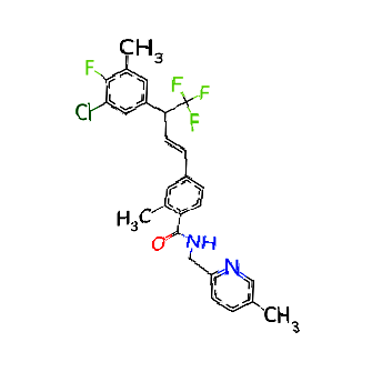 Cc1ccc(CNC(=O)c2ccc(/C=C/C(c3cc(C)c(F)c(Cl)c3)C(F)(F)F)cc2C)nc1